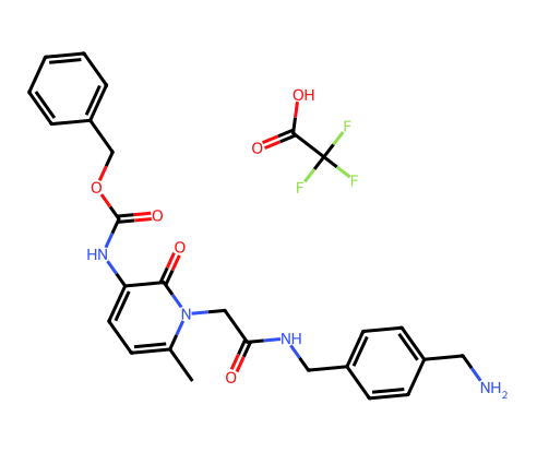 Cc1ccc(NC(=O)OCc2ccccc2)c(=O)n1CC(=O)NCc1ccc(CN)cc1.O=C(O)C(F)(F)F